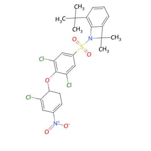 CC(C)(C)c1cccc2c1N(S(=O)(=O)c1cc(Cl)c(OC3CC=C([N+](=O)[O-])C=C3Cl)c(Cl)c1)C2(C)C